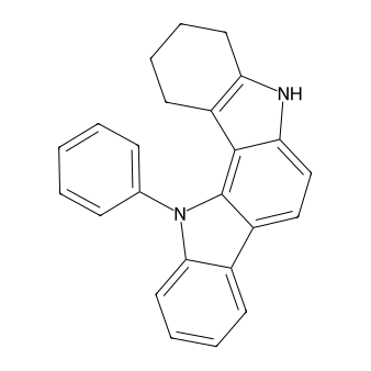 c1ccc(-n2c3ccccc3c3ccc4[nH]c5c(c4c32)CCCC5)cc1